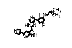 CN(C)CCNc1cc(F)cc(-c2cncc3[nH]c(-c4n[nH]c5cnc(-c6ccncc6)cc45)nc23)c1